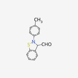 Cc1ccc(N2Sc3ccccc3C2C=O)cc1